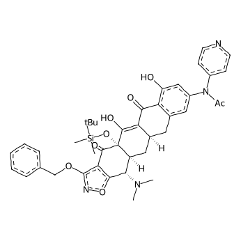 CC(=O)N(c1ccncc1)c1cc(O)c2c(c1)C[C@H]1C[C@H]3[C@H](N(C)C)c4onc(OCc5ccccc5)c4C(=O)[C@@]3(O[Si](C)(C)C(C)(C)C)C(O)=C1C2=O